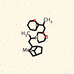 CSC1C2CCC(CC(C)N3CC4CCC3C(CC(C)N3CC5CCC3CC5)O4)C1CC2